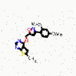 COc1ccc(-c2cc(COc3ncnc4sc(C)cc34)on2)c(OC)c1